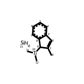 CC1=Cc2ccccc2[CH]1[Ti]([CH3])[CH3].[SiH4]